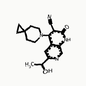 CC(O)c1cc2c(N3CCC4(CC3)CC4)c(C#N)c(=O)[nH]c2cn1